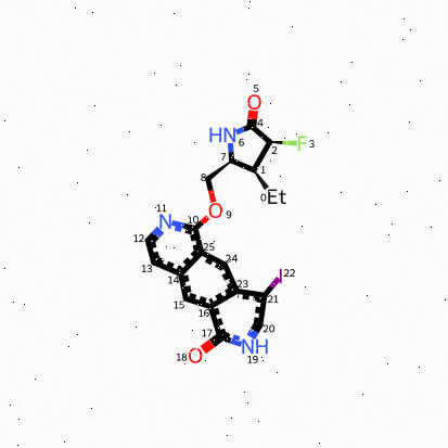 CC[C@@H]1[C@H](F)C(=O)N[C@@H]1COc1nccc2cc3c(=O)[nH]cc(I)c3cc12